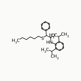 CCCCCCSC(C(=O)Nc1c(C(C)C)cccc1C(C)C)c1ccccc1